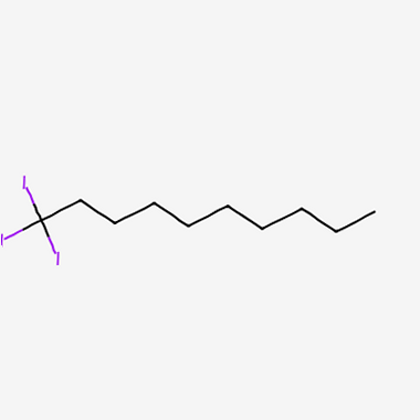 CCCCCCCCCC(I)(I)I